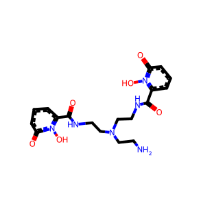 NCCN(CCNC(=O)c1cccc(=O)n1O)CCNC(=O)c1cccc(=O)n1O